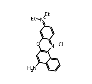 CC[N+](CC)=c1ccc2nc3c(cc(N)c4ccccc43)oc-2c1.[Cl-]